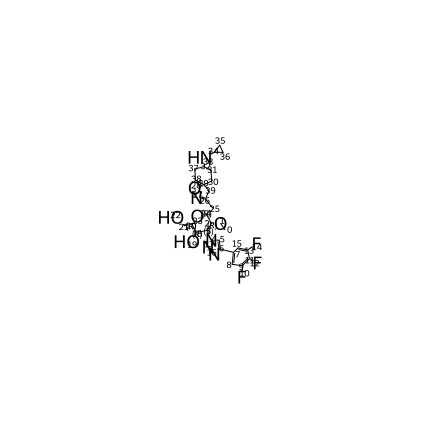 CO[C@@H]1[C@@H](n2cc(-c3cc(F)c(F)c(F)c3)nn2)[C@@H](O)[C@@H](CO)O[C@@H]1CC1=NOC2(CCC(NC3CC3)CC2)C1